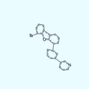 Brc1cccc2c1oc1c(-c3cccc(-c4cccnc4)c3)cccc12